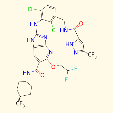 O=C(NCc1ccc(Cl)c(Nc2nc3nc(OCC(F)F)c(C(=O)N[C@H]4CC[C@H](C(F)(F)F)CC4)cc3[nH]2)c1Cl)c1cc(C(F)(F)F)n[nH]1